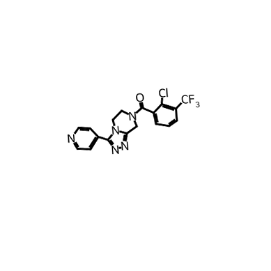 O=C(c1cccc(C(F)(F)F)c1Cl)N1CCn2c(nnc2-c2ccncc2)C1